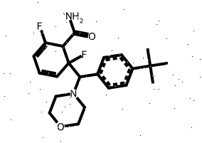 CC(C)(C)c1ccc(C(N2CCOCC2)C2(F)C=CC=C(F)C2C(N)=O)cc1